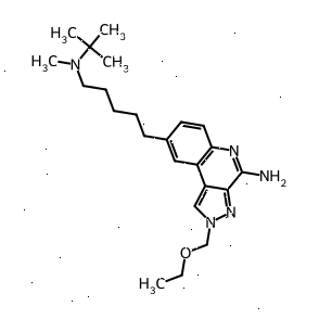 CCOCn1cc2c(n1)c(N)nc1ccc(CCCCCN(C)C(C)(C)C)cc12